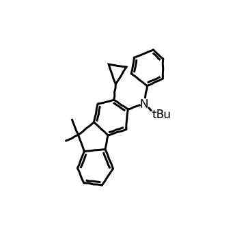 CC1(C)c2ccccc2-c2cc(N(c3ccccc3)C(C)(C)C)c(C3CC3)cc21